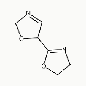 C1=NCOC1C1=NCCO1